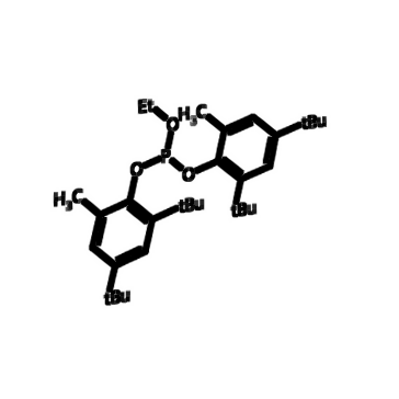 CCOP(Oc1c(C)cc(C(C)(C)C)cc1C(C)(C)C)Oc1c(C)cc(C(C)(C)C)cc1C(C)(C)C